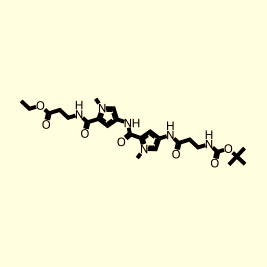 CCOC(=O)CCNC(=O)c1cc(NC(=O)c2cc(NC(=O)CCNC(=O)OC(C)(C)C)cn2C)cn1C